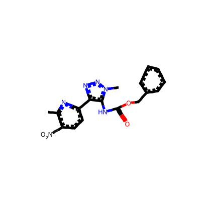 Cc1nc(-c2nnn(C)c2NC(=O)OCc2ccccc2)ccc1[N+](=O)[O-]